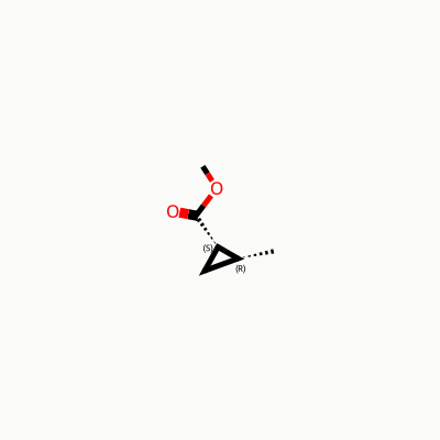 COC(=O)[C@H]1C[C@H]1C